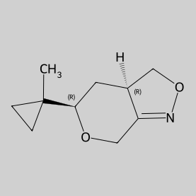 CC1([C@H]2C[C@H]3CON=C3CO2)CC1